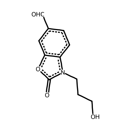 O=Cc1ccc2c(c1)oc(=O)n2CCCO